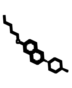 CCCCCOc1ccc2cc([C@H]3CC[C@H](C)CC3)ccc2c1